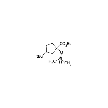 CCOC(=O)C1(O[SiH](C)C)CCC(C(C)(C)C)C1